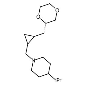 CC(C)C1CCN(CC2CC2C[C@H]2COCCO2)CC1